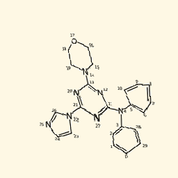 c1ccc(N(c2ccccc2)c2nc(N3CCOCC3)nc(-n3ccnc3)n2)cc1